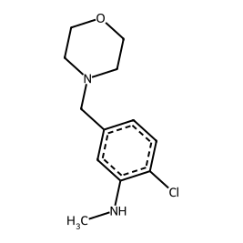 CNc1cc(CN2CCOCC2)ccc1Cl